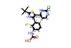 CC(C)(C)c1nc(-c2cccc(NC(=O)O)c2F)c(-c2ccnc(Cl)n2)s1